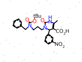 CC1=C(C(=O)O)C(c2cccc([N+](=O)[O-])c2)N(CCCN(Cc2ccccc2)C(=O)OC(C)(C)C)C(=O)N1